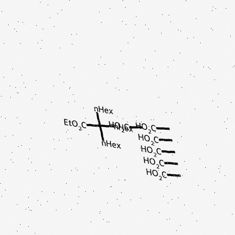 CC(=O)O.CC(=O)O.CC(=O)O.CC(=O)O.CC(=O)O.CC(=O)O.CCCCCCC(CCCCCC)(CCCCCC)C(=O)OCC